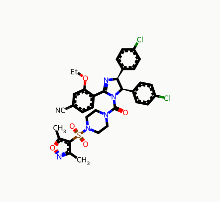 CCOc1cc(C#N)ccc1C1=N[C@@H](c2ccc(Cl)cc2)[C@@H](c2ccc(Cl)cc2)N1C(=O)N1CCN(S(=O)(=O)c2c(C)noc2C)CC1